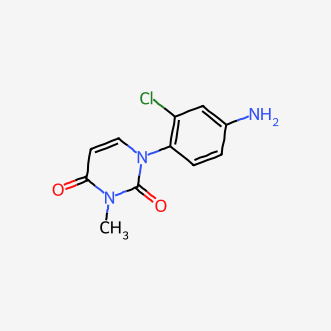 Cn1c(=O)ccn(-c2ccc(N)cc2Cl)c1=O